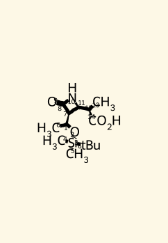 CC(O[Si](C)(C)C(C)(C)C)[C@H]1C(=O)N[C@H]1[C@@H](C)C(=O)O